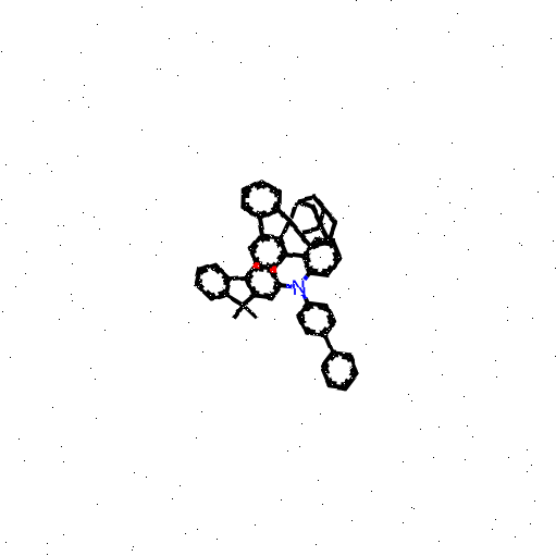 CC1(C)c2ccccc2-c2ccc(N(c3ccc(-c4ccccc4)cc3)c3ccccc3-c3cccc4c3C3(c5ccccc5-4)C4CC5CC(C4)CC3C5)cc21